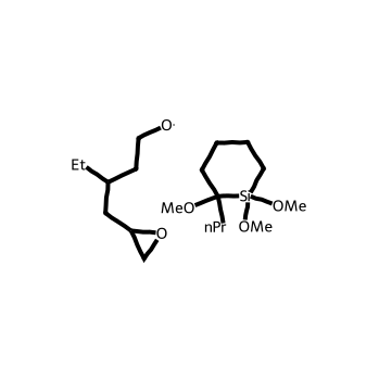 CCC(CC[O])CC1CO1.CCCC1(OC)CCCC[Si]1(OC)OC